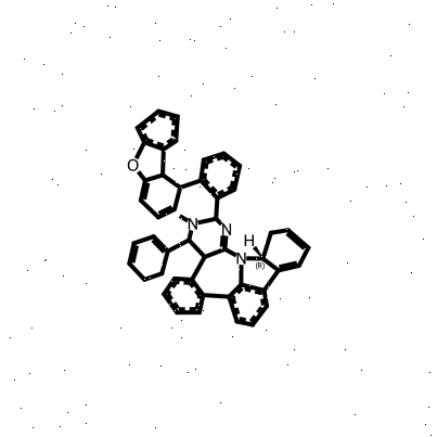 CN1C(c2ccccc2C2C=CC=C3Oc4ccccc4C32)N=C2C(c3ccccc3-c3cccc4c3N2[C@@H]2CC=CC=C42)C1C1=CC=CCC1